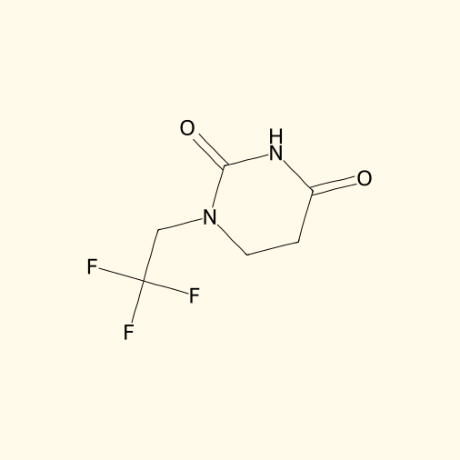 O=C1CCN(CC(F)(F)F)C(=O)N1